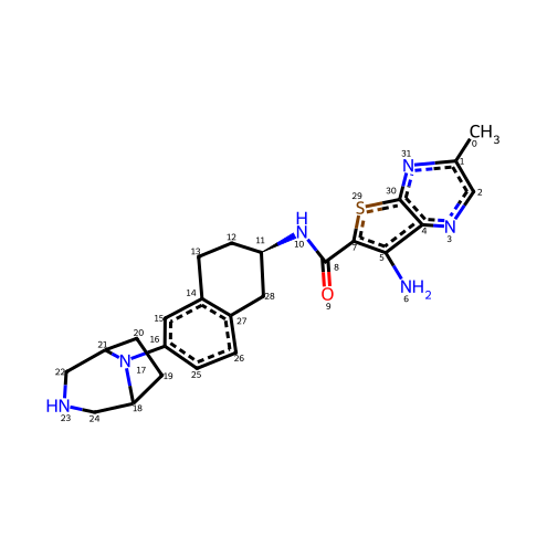 Cc1cnc2c(N)c(C(=O)N[C@@H]3CCc4cc(N5C6CCC5CNC6)ccc4C3)sc2n1